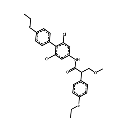 CCSc1ccc(-c2c(Cl)cc(NC(=O)C(COC)c3ccc(SCC)cc3)cc2Cl)cc1